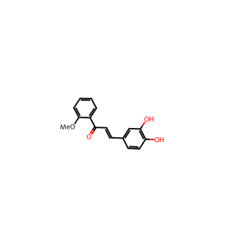 COc1ccccc1C(=O)C=Cc1ccc(O)c(O)c1